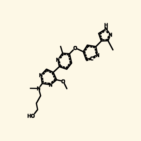 COc1nc(N(C)CCCO)ncc1-c1ccc(Oc2ccnc(-c3c[nH]nc3C)c2)c(C)n1